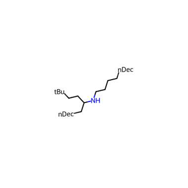 CCCCCCCCCCCCCCNC(CCCCCCCCCCC)CCC(C)(C)C